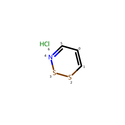 C1=CSSN=C1.Cl